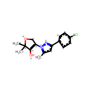 Cc1cc(-c2ccc(Cl)cc2)nn1C1=C(O)C(C)(C)OC1